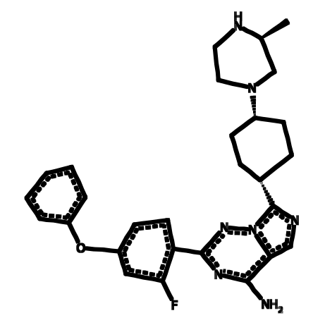 C[C@H]1CN([C@H]2CC[C@@H](c3ncc4c(N)nc(-c5ccc(Oc6ccccc6)cc5F)nn43)CC2)CCN1